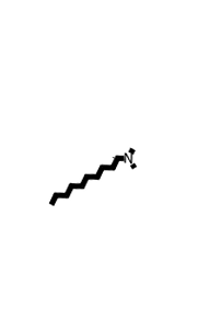 CCCCCCCCC[CH]N(C)C